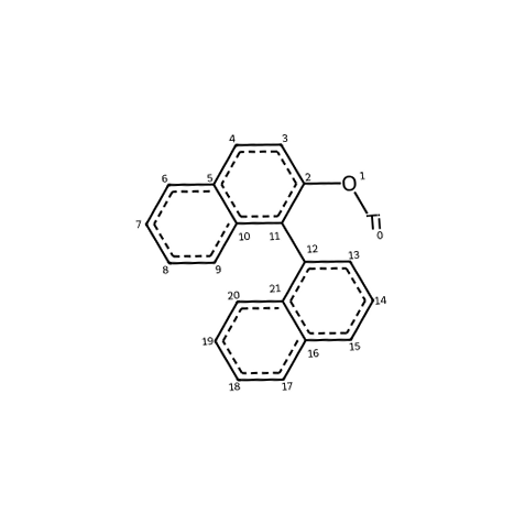 [Ti][O]c1ccc2ccccc2c1-c1cccc2ccccc12